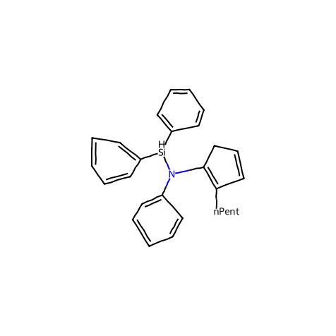 CCCCCC1=C(N(c2ccccc2)[SiH](c2ccccc2)c2ccccc2)CC=C1